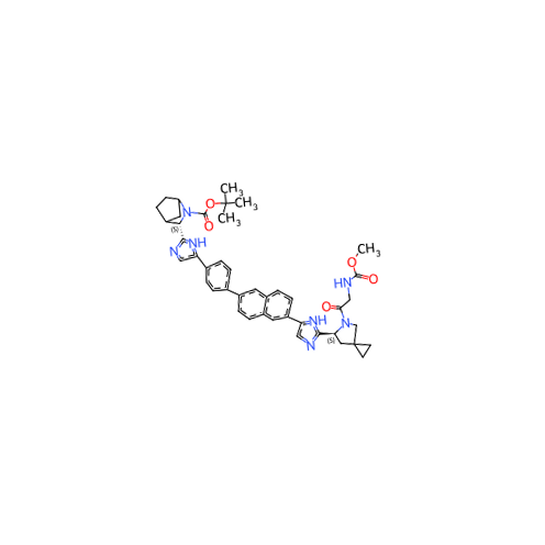 COC(=O)NCC(=O)N1CC2(CC2)C[C@H]1c1ncc(-c2ccc3cc(-c4ccc(-c5cnc([C@@H]6C7CCC(C7)N6C(=O)OC(C)(C)C)[nH]5)cc4)ccc3c2)[nH]1